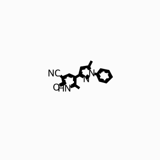 Cc1[nH]c(=O)c(C#N)cc1-c1cc(C)n(-c2ccccc2)n1